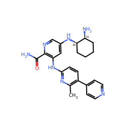 Cc1nc(Nc2cc(N[C@@H]3CCCC[C@@H]3N)cnc2C(N)=O)ccc1-c1ccncc1